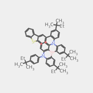 CCC(C)(C)c1ccc(N2c3ccc(C(C)(C)CC)cc3B3c4cc(C(C)(C)CC)ccc4N(c4ccc(C(C)(C)CC)cc4-c4ccc5sc6ccccc6c5c4)c4cccc2c43)cc1